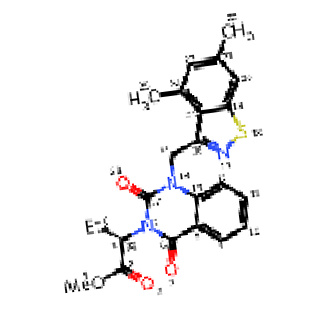 CC[C@H](C(=O)OC)n1c(=O)c2ccccc2n(Cc2nsc3cc(C)cc(C)c23)c1=O